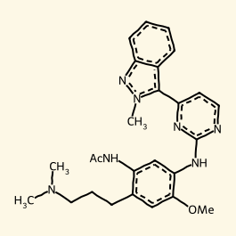 COc1cc(CCCN(C)C)c(NC(C)=O)cc1Nc1nccc(-c2c3ccccc3nn2C)n1